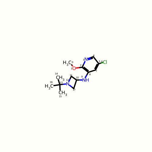 COc1ncc(Cl)cc1NC1CN(C(C)(C)C)C1